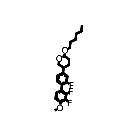 CCCCCCOC1CCC(c2ccc(-c3ccc(OC)c(F)c3F)c(F)c2)CO1